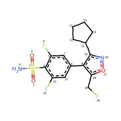 NS(=O)(=O)c1c(F)cc(-c2c(C3CCCC3)noc2CF)cc1F